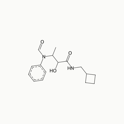 CC(C(O)C(=O)NCC1CCC1)N(C=O)c1ccccc1